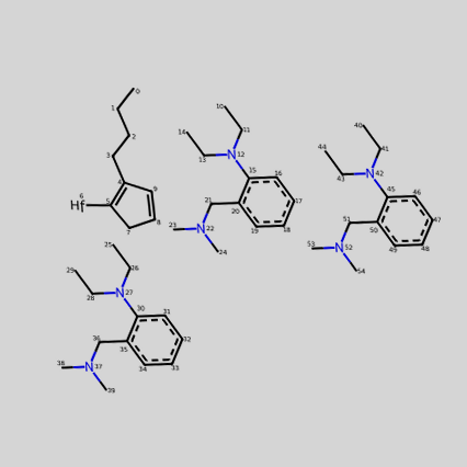 CCCCC1=[C]([Hf])CC=C1.CCN(CC)c1ccccc1CN(C)C.CCN(CC)c1ccccc1CN(C)C.CCN(CC)c1ccccc1CN(C)C